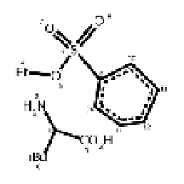 CCC(C)C(N)C(=O)O.CCOS(=O)(=O)c1ccccc1